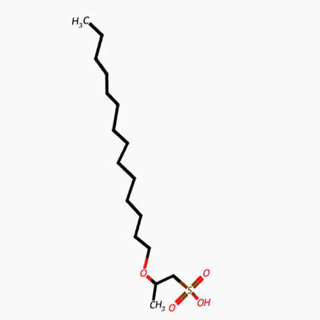 CCCCCCCCCCCCCCOC(C)CS(=O)(=O)O